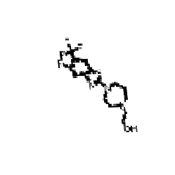 OCCN1CCCN(c2nc3cc(F)c(C(F)(F)F)cc3s2)CC1